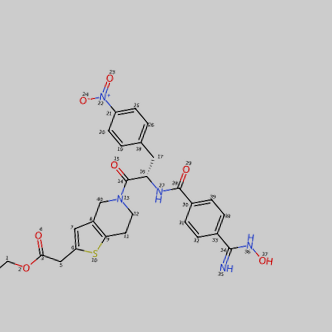 CCOC(=O)Cc1cc2c(s1)CCN(C(=O)[C@H](Cc1ccc([N+](=O)[O-])cc1)NC(=O)c1ccc(C(=N)NO)cc1)C2